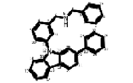 c1ccc(CNCc2cccc(-n3c4ccccc4c4ccc(-c5ccccc5)cc43)c2)cc1